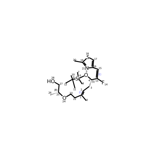 C/C(=C\C[C@H](O[Si](C)(C)C(C)(C)C)/C(F)=C\c1csc(C)n1)CCO[C@H](C)CO